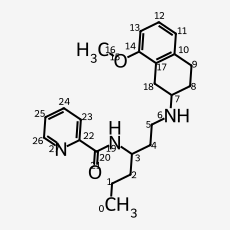 CCCC(CCNC1CCc2cccc(OC)c2C1)NC(=O)c1ccccn1